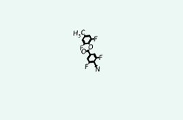 Cc1cc(F)c(OC(=O)c2cc(F)c(C#N)c(F)c2)c(F)c1